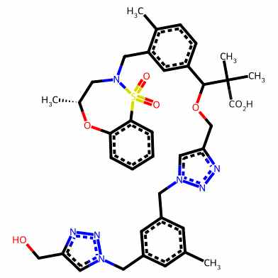 Cc1cc(Cn2cc(CO)nn2)cc(Cn2cc(COC(c3ccc(C)c(CN4C[C@@H](C)Oc5ccccc5S4(=O)=O)c3)C(C)(C)C(=O)O)nn2)c1